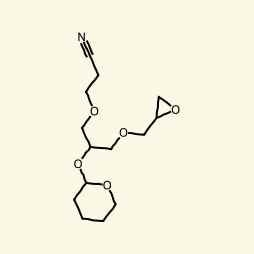 N#CCCOCC(COCC1CO1)OC1CCCCO1